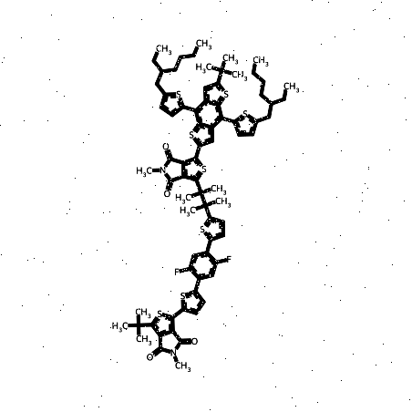 CCCCC(CC)Cc1ccc(-c2c3cc(C(C)(C)C)sc3c(-c3ccc(CC(CC)CCCC)s3)c3cc(-c4sc(C(C)(C)C(C)(C)c5ccc(-c6cc(F)c(-c7ccc(-c8sc(C(C)(C)C)c9c8C(=O)N(C)C9=O)s7)cc6F)s5)c5c4C(=O)N(C)C5=O)sc23)s1